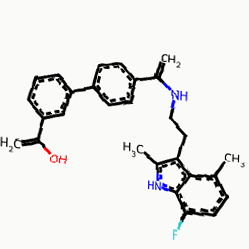 C=C(O)c1cccc(-c2ccc(C(=C)NCCc3c(C)[nH]c4c(F)ccc(C)c34)cc2)c1